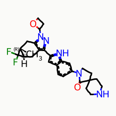 C[C@@]12Cc3c(c(-c4cc5ccc(N6CCC7(CCNCC7)C6=O)cc5[nH]4)nn3C3CCO3)C[C@@H]1C2(F)F